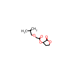 C=C(C)COCC(=O)OC1CCOC1=O